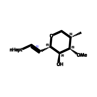 CCCCCCC/C=C/[C@@H]1OC[C@H](C)[C@H](OC)[C@H]1O